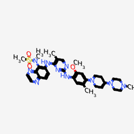 COc1cc(N2CCC(N3CCN(C)CC3)CC2)c(C)cc1Nc1ncc(C)c(Nc2ccc3nccnc3c2N(C)S(C)(=O)=O)n1